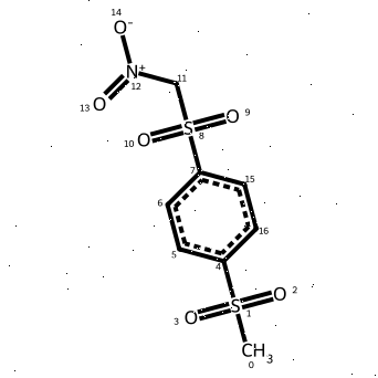 CS(=O)(=O)c1ccc(S(=O)(=O)C[N+](=O)[O-])cc1